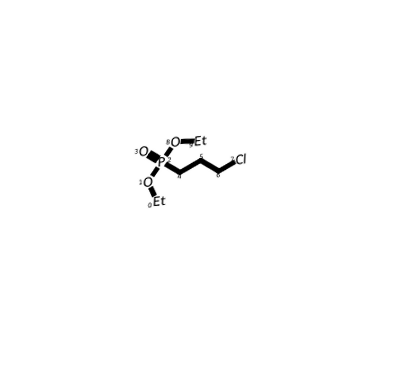 CCOP(=O)(CCCCl)OCC